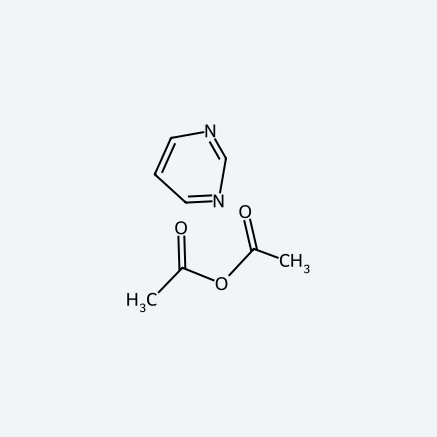 CC(=O)OC(C)=O.c1cncnc1